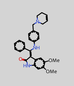 COc1cc2c(cc1OC)C(=C(Nc1ccc(CN3CC=CCC3)cc1)c1ccccc1)C(=O)N2